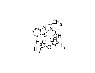 CC(C)OC(C)C.CC1=CN2c3ccccc3SC2N1CO